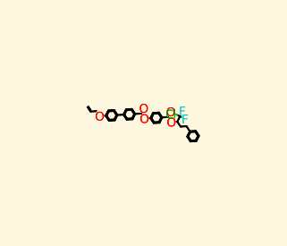 C=CCOc1ccc(-c2ccc(C(=O)Oc3ccc(C(=O)OC(CCc4ccccc4)C(F)(F)Cl)cc3)cc2)cc1